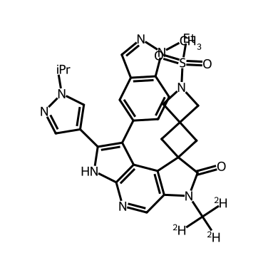 [2H]C([2H])([2H])N1C(=O)C2(CC3(CN(S(=O)(=O)CC)C3)C2)c2c1cnc1[nH]c(-c3cnn(C(C)C)c3)c(-c3ccc4c(cnn4C)c3)c21